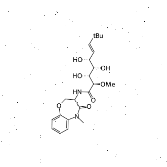 CO[C@@H](C(=O)NC1COc2ccccc2N(C)C1=O)[C@H](O)[C@@H](O)[C@H](O)/C=C/C(C)(C)C